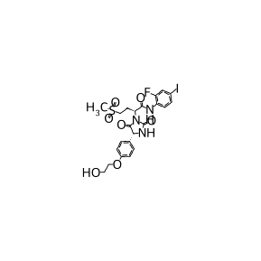 CS(=O)(=O)CC[C@@H](C(=O)Nc1ccc(I)cc1F)N1C(=O)N[C@H](c2ccc(OCCO)cc2)C1=O